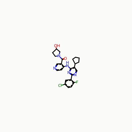 O=C(c1cnccc1Nc1nc(-c2cc(Cl)ccc2F)ncc1C1CCCC1)N1CCC(O)C1